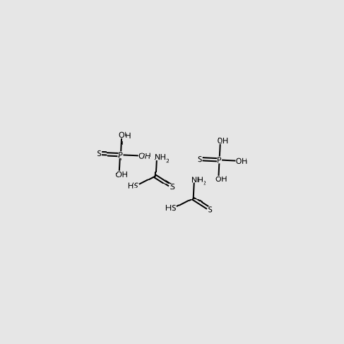 NC(=S)S.NC(=S)S.OP(O)(O)=S.OP(O)(O)=S